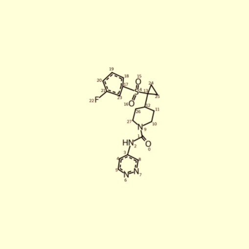 O=C(Nc1ccnnc1)N1CCC(C2(S(=O)(=O)c3cccc(F)c3)CC2)CC1